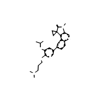 CC(C)Oc1cc(-c2ccc3ncc4c(c3c2)C2(CC2)C(=O)N4C)cnc1OCCCN(C)C